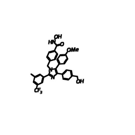 COc1ccc(-c2c(-c3ccc(CO)cc3)nc(-c3cc(C)cc(C(F)(F)F)c3)n2Cc2ccc(C(=O)NO)cc2)cc1